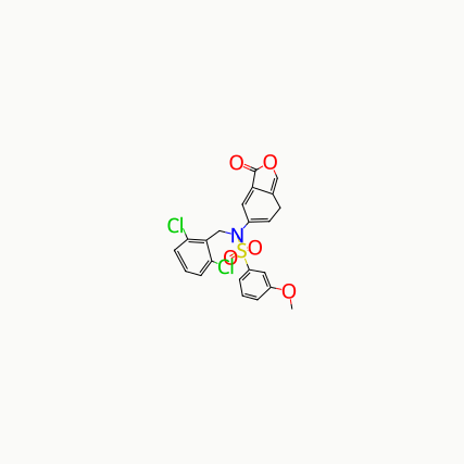 COc1cccc(S(=O)(=O)N(Cc2c(Cl)cccc2Cl)C2=CCC3=COC(=O)C3=C2)c1